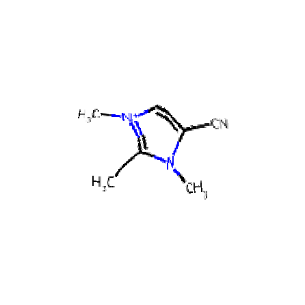 Cc1n(C)c(C#N)c[n+]1C